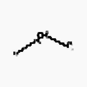 CCCCCCCCCOC(=O)C1CCCC(C(=O)OCCCCCCCCC(C)C)C1